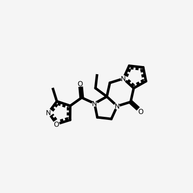 CCC12Cn3cccc3C(=O)N1CCN2C(=O)c1conc1C